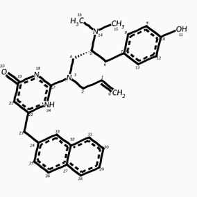 C=CCN(C[C@@H](Cc1ccc(O)cc1)N(C)C)c1nc(=O)cc(Cc2ccc3ccccc3c2)[nH]1